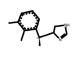 Cc1cccc([C@H](C)C2CNC=N2)c1C